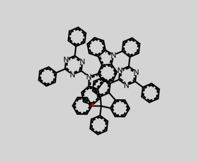 c1ccc(-c2nc(-c3ccccc3-n3c4ccccc4c4c3ccc3c5ccccc5n(-c5nc(-c6ccccc6)nc(-c6ccccc6)n5)c34)nc(-c3cccc4c3-c3ccccc3C4(c3ccccc3)c3ccccc3)n2)cc1